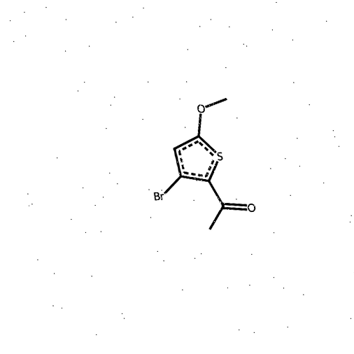 COc1cc(Br)c(C(C)=O)s1